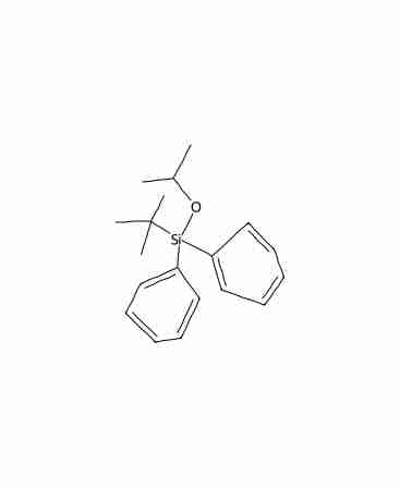 CC(C)O[Si](c1ccccc1)(c1ccccc1)C(C)(C)C